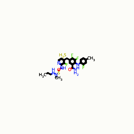 CCCNN(C)SONc1nccc(Cc2cc(C(N)=O)c(Nc3ccc(C)cc3F)c(F)c2F)c1F.S